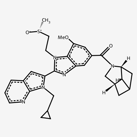 COc1cc(C(=O)N2C[C@H]3CC4C[C@@H]2[C@H]43)cc2nc(-c3cc4cccnc4n3CC3CC3)n(CC[S@@+](C)[O-])c12